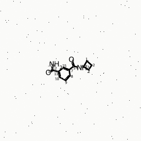 C1CCC1.NC(=O)c1cccc(C(N)=O)c1